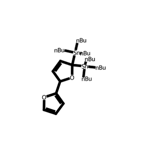 CCC[CH2][Sn]([CH2]CCC)([CH2]CCC)[C]1([Sn]([CH2]CCC)([CH2]CCC)[CH2]CCC)C=CC(c2ccco2)O1